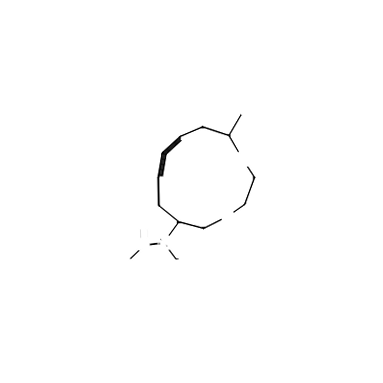 CBN(I)C1CC=C=CCC(C)CCCCC1